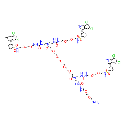 CC1Cc2c(Cl)cc(Cl)cc2[C@H](c2cccc(S(=O)(=O)NCCOCCOCCNC(=O)NCCN(CCNC(=O)NCCOCCOCCNS(=O)(=O)c3cccc([C@@H]4CN(C)Cc5c(Cl)cc(Cl)cc54)c3)C(=O)CCOCCOCCOCCOCCOCCC(=O)N(CCNC(=O)NCCOCCOCCN)CCNC(=O)NCCOCCOCCNS(=O)(=O)c3cccc([C@@H]4CN(C)Cc5c(Cl)cc(Cl)cc54)c3)c2)C1